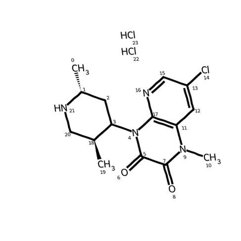 C[C@@H]1CC(n2c(=O)c(=O)n(C)c3cc(Cl)cnc32)[C@@H](C)CN1.Cl.Cl